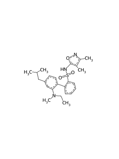 CCN(C)c1cc(CC(C)C)ccc1-c1ccccc1S(=O)(=O)Nc1onc(C)c1C